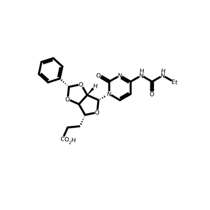 CCNC(=O)Nc1ccn([C@@H]2O[C@H](CCC(=O)O)C3O[C@H](c4ccccc4)O[C@@H]32)c(=O)n1